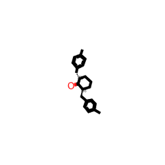 Cc1ccc(C[C@@H]2CCC[C@@H](Cc3ccc(C)cc3)C2=O)cc1